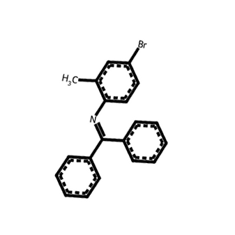 Cc1cc(Br)ccc1N=C(c1ccccc1)c1ccccc1